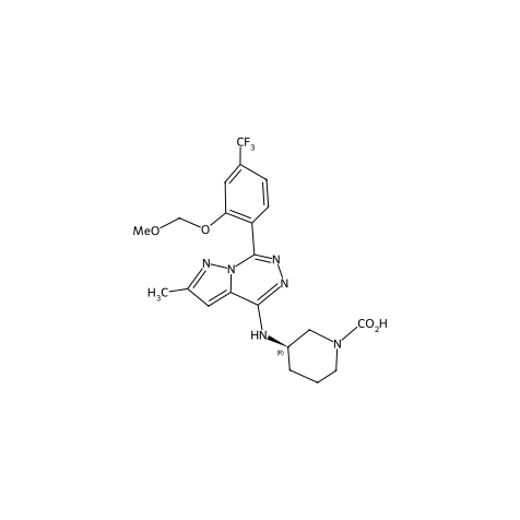 COCOc1cc(C(F)(F)F)ccc1-c1nnc(N[C@@H]2CCCN(C(=O)O)C2)c2cc(C)nn12